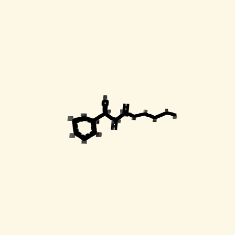 CCCCCNNC(=O)c1ccccc1